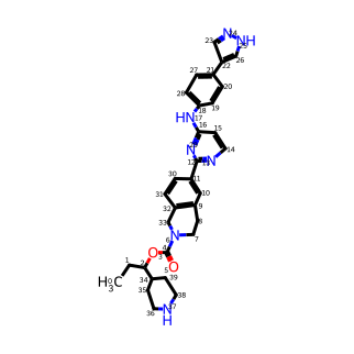 CCC(OC(=O)N1CCc2cc(-c3nccc(Nc4ccc(-c5cn[nH]c5)cc4)n3)ccc2C1)C1CCNCC1